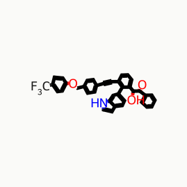 O=C(c1ccccc1)C(O)c1cccc(C#Cc2ccc(COc3ccc(C(F)(F)F)cc3)cc2)c1-c1ccc2cc[nH]c2c1